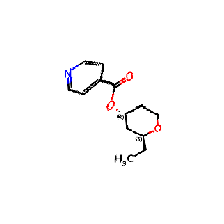 CC[C@H]1C[C@H](OC(=O)c2ccncc2)CCO1